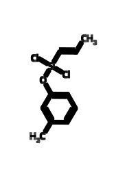 CC=C[Si](Cl)(Cl)Oc1cccc(C)c1